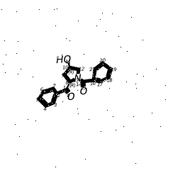 O=C(c1ccccc1)[C@H]1C[C@@H](O)CN1C(=O)c1ccccc1